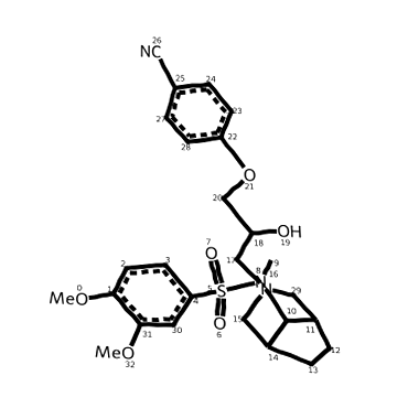 COc1ccc(S(=O)(=O)N(C)C2C3CCC2CN(CC(O)COc2ccc(C#N)cc2)C3)cc1OC